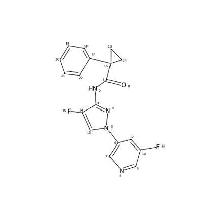 O=C(Nc1nn(-c2cncc(F)c2)cc1F)C1(c2ccccc2)CC1